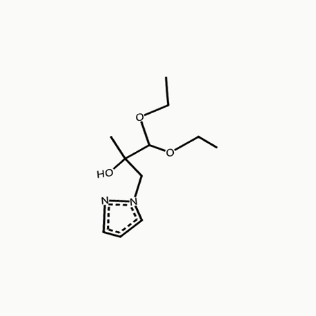 CCOC(OCC)C(C)(O)Cn1cccn1